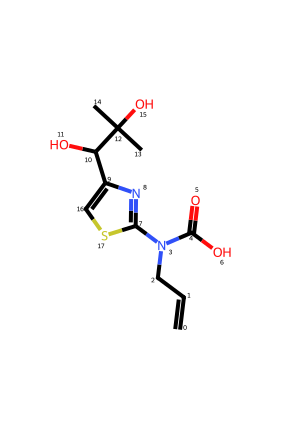 C=CCN(C(=O)O)c1nc(C(O)C(C)(C)O)cs1